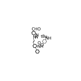 CC(C)(C)N[C@H]1CC[C@H](OC(=O)Nc2cc(C=CCn3nnc4cc(C=O)ccc43)ccc2-c2ccccc2)CC1